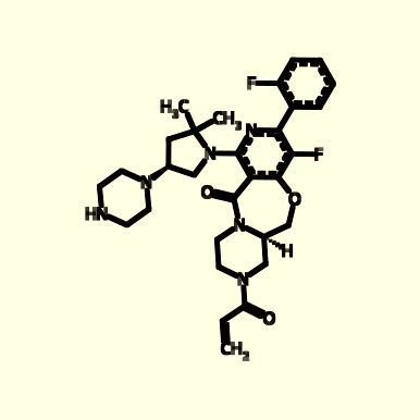 C=CC(=O)N1CCN2C(=O)c3c(N4C[C@@H](N5CCNCC5)CC4(C)C)nc(-c4ccccc4F)c(F)c3OC[C@H]2C1